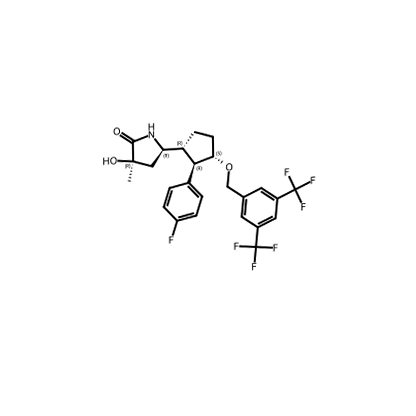 C[C@@]1(O)C[C@H]([C@@H]2CC[C@H](OCc3cc(C(F)(F)F)cc(C(F)(F)F)c3)[C@H]2c2ccc(F)cc2)NC1=O